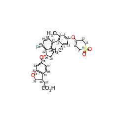 Cc1cc(OC2CCS(=O)(=O)CC2)cc(C)c1-c1ccc(F)c2c1CC[C@H]2Oc1ccc2c(c1)OCC2CC(=O)O